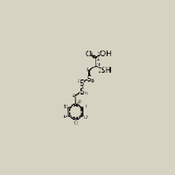 O=C(O)C(S)CSSSCc1ccccc1